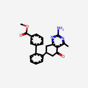 COC(=O)c1cccc(-c2ccccc2C2CC(=O)c3c(C)nc(N)nc3C2)c1